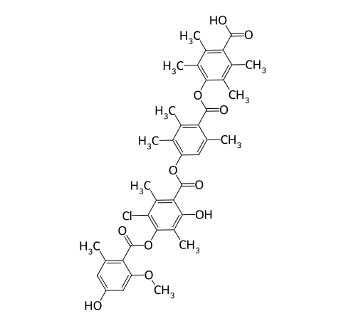 COc1cc(O)cc(C)c1C(=O)Oc1c(C)c(O)c(C(=O)Oc2cc(C)c(C(=O)Oc3c(C)c(C)c(C(=O)O)c(C)c3C)c(C)c2C)c(C)c1Cl